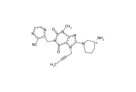 CC#CCn1c(N2CCC[C@@H](N)C2)nc2c1c(=O)n(Cc1nccnc1C#N)c(=O)n2C